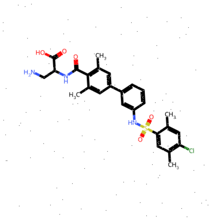 Cc1cc(S(=O)(=O)Nc2cccc(-c3cc(C)c(C(=O)NC(CN)C(=O)O)c(C)c3)c2)c(C)cc1Cl